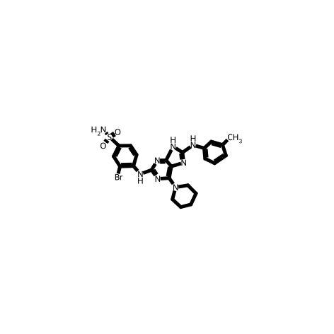 Cc1cccc(Nc2nc3c(N4CCCCC4)nc(Nc4ccc(S(N)(=O)=O)cc4Br)nc3[nH]2)c1